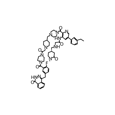 CCc1cccc(-c2cnc(C(=O)N3CCN(CC4CCN(CC(=O)N5CCN(C(=O)c6cc(Cc7n[nH]c(=O)c8ccccc78)ccc6F)CC5)CC4)CC3)c(NC(=O)CNC[C@@H]3CCN(C)C(=O)C3)c2)c1